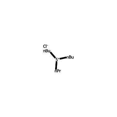 CCCC[S+](CCC)CCCC.[Cl-]